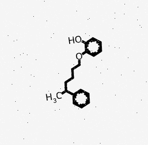 CC(CCCCOc1ccccc1O)c1ccccc1